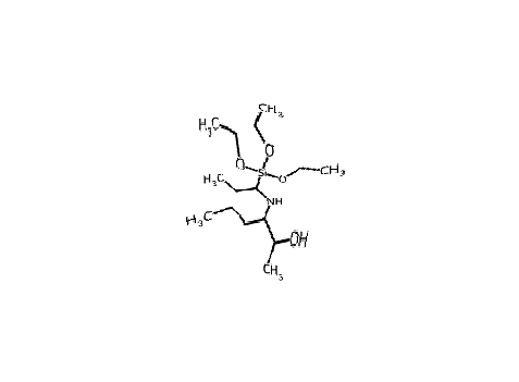 CCCC(NC(CC)[Si](OCC)(OCC)OCC)C(C)O